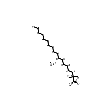 CCCCCCCCCCCCCCCCC(C)(C)C(=O)[O-].[Na+]